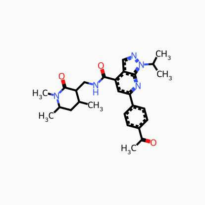 CC(=O)c1ccc(-c2cc(C(=O)NCC3C(=O)N(C)C(C)CC3C)c3cnn(C(C)C)c3n2)cc1